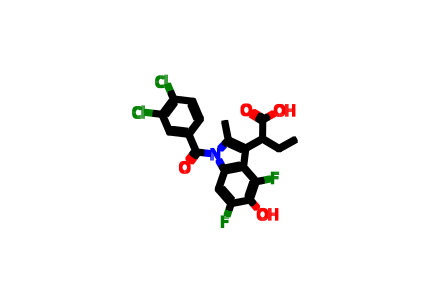 CCC(C(=O)O)c1c(C)n(C(=O)c2ccc(Cl)c(Cl)c2)c2cc(F)c(O)c(F)c12